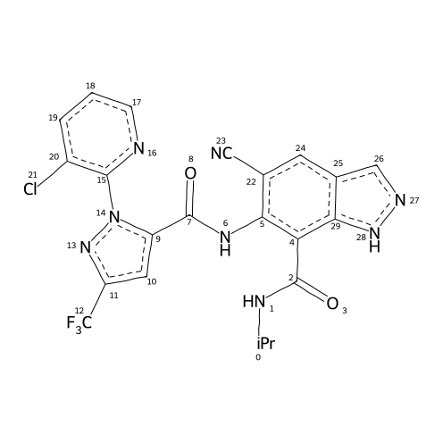 CC(C)NC(=O)c1c(NC(=O)c2cc(C(F)(F)F)nn2-c2ncccc2Cl)c(C#N)cc2cn[nH]c12